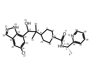 C[C@H](NC(=O)N1CCC(C(C)(C)C(O)c2cc(Cl)cc3cn[nH]c23)CC1)c1ccccn1